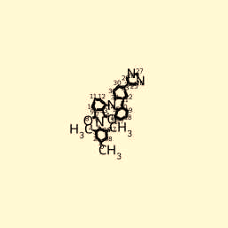 Cc1cc(C)c(N2C(=O)c3cccc(-n4c5ccccc5c5cc(-c6cncnc6)ccc54)c3C2=O)c(C)c1